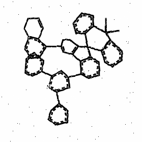 CC1(C)c2ccccc2C2(C3=C(C=C(c4cccc5c4C=CCC5)CC3)c3c(-c4cc(-c5ccccc5)nc(-c5ccccc5)c4)cccc32)c2ccccc21